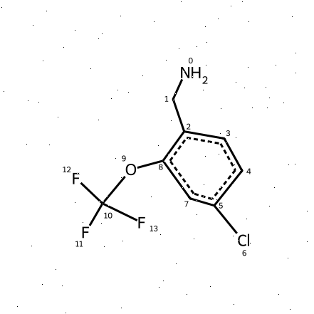 NCc1ccc(Cl)cc1OC(F)(F)F